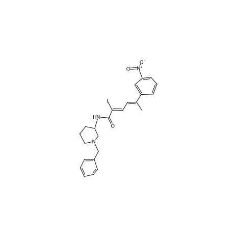 C/C(=C\C=C(/I)C(=O)NC1CCCN(Cc2ccccc2)C1)c1cccc([N+](=O)[O-])c1